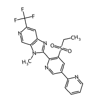 CCS(=O)(=O)c1cc(-c2ccccn2)cnc1-c1nc2cc(C(F)(F)F)ncc2n1C